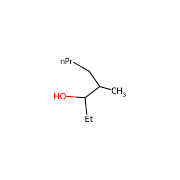 CCCCC(C)C(O)CC